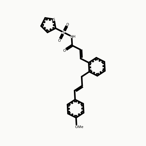 COc1ccc(C=CCc2ccccc2C=CC(=O)NS(=O)(=O)c2cccs2)cc1